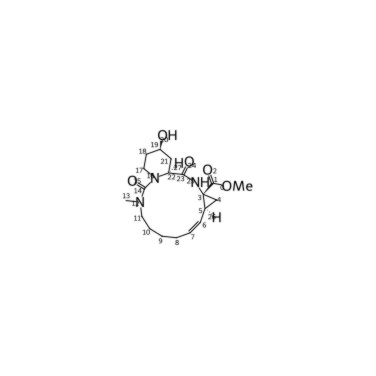 COC(=O)[C@@]12C[C@H]1C=CCCCCN(C)C(=O)N1CC[C@@H](O)C[C@H]1C(=O)N2